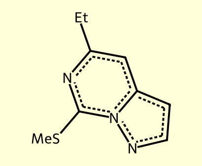 CCc1cc2ccnn2c(SC)n1